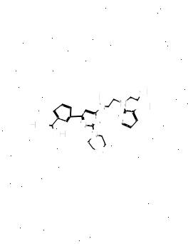 CCCN(CCNc1cc(-c2cccc(C(C)C)c2)nc(N2CCOCC2)n1)c1ncccc1C